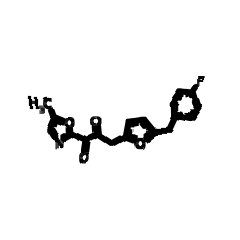 Cc1cnc(C(=O)C(=O)Cc2ccc(Cc3ccc(F)cc3)o2)o1